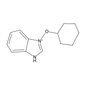 c1ccc2c(c1)[nH]c[n+]2OC1CCCCC1